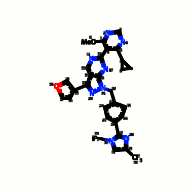 COc1ncnc(C2CC2)c1-c1ncc2c(-c3ccoc3)nn(Cc3ccc(-c4nc(C(F)(F)F)cn4C(C)C)cc3)c2n1